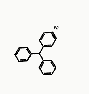 [Ni].c1ccc(C(c2ccccc2)c2ccccc2)cc1